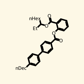 CCCCCCCCCCc1ccc(-c2ccc(C(=O)Oc3ccccc3C(=O)OC(CC)CCCCCC)cc2)cc1